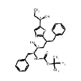 CC[C@@H](O)c1cnc(C(Cc2ccccc2)C[C@H](O)[C@H](Cc2ccccc2)NC(=O)OC(C)(C)C)s1